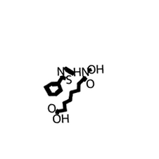 O=C(O)CCCCCCC(=O)NO.c1ccc(-c2nccs2)cc1